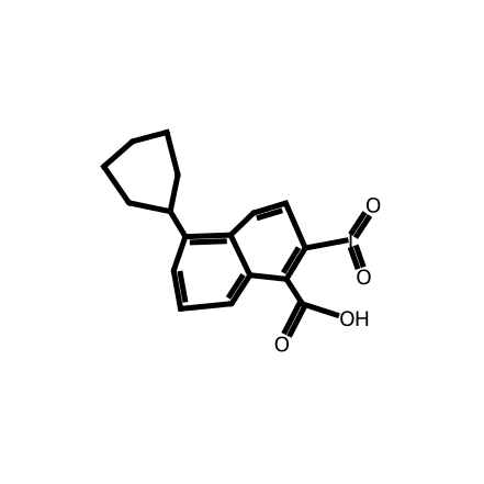 O=C(O)c1c(I(=O)=O)ccc2c(C3CCCCC3)cccc12